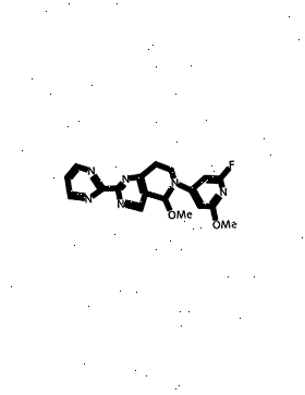 COc1cc(N2CCc3nc(-c4ncccn4)ncc3C2OC)cc(F)n1